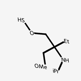 CCC(COC)(COS)NC(C)C